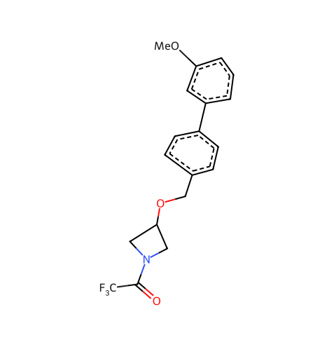 COc1cccc(-c2ccc(COC3CN(C(=O)C(F)(F)F)C3)cc2)c1